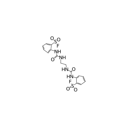 O=C(NCCNC(=O)Nc1ccccc1S(=O)(=O)F)Nc1ccccc1S(=O)(=O)F